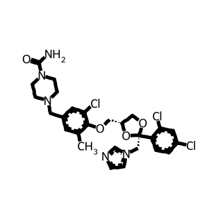 Cc1cc(CN2CCN(C(N)=O)CC2)cc(Cl)c1OC[C@@H]1CO[C@@](Cn2ccnc2)(c2ccc(Cl)cc2Cl)O1